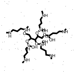 CNCCC[SiH](C)OCC(O[SiH](O)CCCNC)C(O[SiH](O)CCCNC)C(CO[SiH](O)CCCNC)O[SiH](O)CCCNC